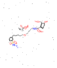 CC(=O)O.NS(=O)(=O)c1cccc(CCCCCOCCCCCNC[C@H](O)c2ccc(O)c(CO)c2)c1